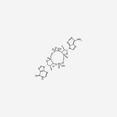 Nc1ncnc2c1ncn2[C@@H]1O[C@@H]2COP(=O)(O)O[C@H]3[C@@H](F)[C@H](n4cnc5c(=O)[nH]cnc54)O[C@@H]3COS(=O)(=O)N[C@H]2[C@H]1F